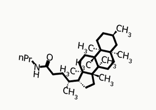 CCCNC(=O)CC[C@@H](C)[C@H]1CC[C@@]2(C)[C@]3(C)CC[C@]4(C)C[C@H](C)CC[C@]4(C)[C@@]3(C)CC[C@]12C